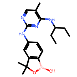 CCC(CC)Nc1nc(Nc2ccc3c(c2)C(C)(C)OB3O)ncc1C